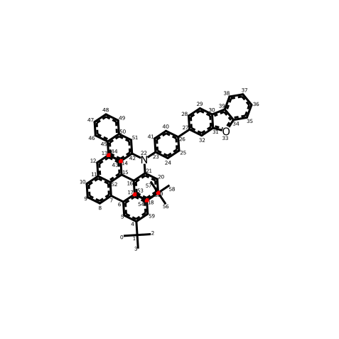 CC(C)(C)c1cc(-c2cccc3cccc(-c4ccccc4N(c4ccc(-c5ccc6c(c5)oc5ccccc56)cc4)c4ccc5ccccc5c4)c23)cc(C(C)(C)C)c1